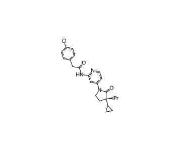 CC(C)[C@@]1(C2CC2)CCN(c2ccnc(NC(=O)Cc3ccc(Cl)cc3)c2)C1=O